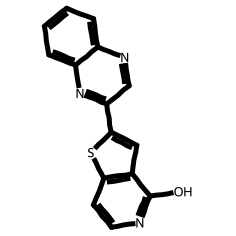 Oc1nccc2sc(-c3cnc4ccccc4n3)cc12